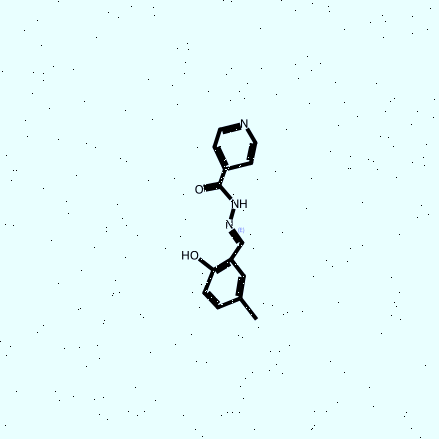 Cc1ccc(O)c(/C=N/NC(=O)c2ccncc2)c1